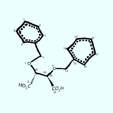 O=C(O)[C@H](OCc1ccccc1)[C@@H](OCc1ccccc1)C(=O)O